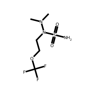 CN(C)N(CCOC(F)(F)F)S(N)(=O)=O